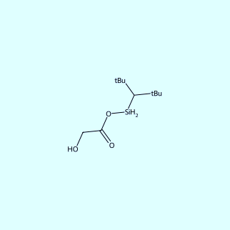 CC(C)(C)C([SiH2]OC(=O)CO)C(C)(C)C